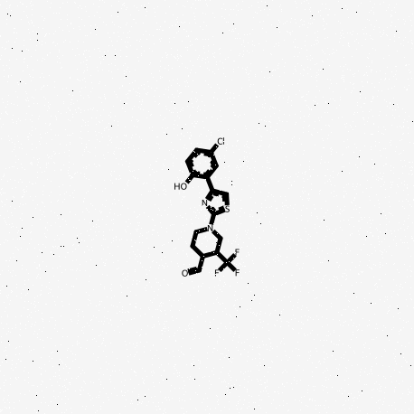 O=CC1CCN(c2nc(-c3cc(Cl)ccc3O)cs2)CC1C(F)(F)F